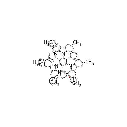 Cc1ccc2c(c1)c1cc(C)ccc1n2-c1c(-c2ccccc2)c(-n2c3ccc(C)cc3c3cc(C)ccc32)c(-c2nc(-c3ccccc3)cc(-c3ccccc3)n2)c(-n2c3ccc(C)cc3c3cc(C)ccc32)c1-c1nc(-c2ccccc2)cc(-c2ccccc2)n1